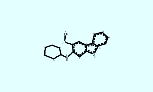 COc1cc2c(cc1NC1CCCCC1)oc1ccccc12